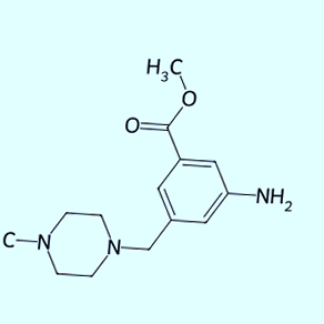 COC(=O)c1cc(N)cc(CN2CCN(C)CC2)c1